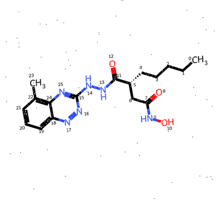 CCCCC[C@H](CC(=O)NO)C(=O)NNc1nnc2cccc(C)c2n1